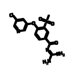 CS(=O)(=O)c1cc(C(=O)N=C(N)N)ccc1Oc1cncc(Cl)c1